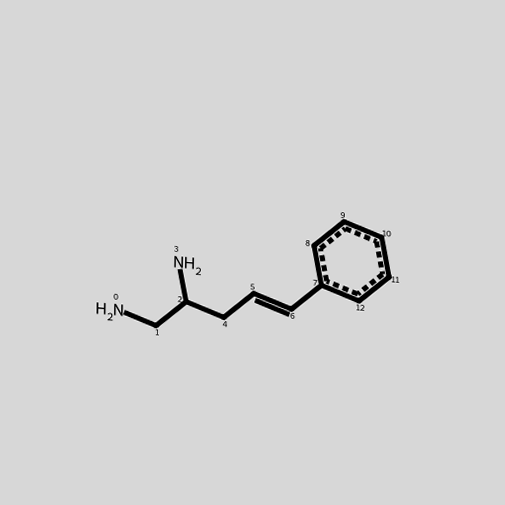 NCC(N)CC=Cc1ccccc1